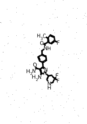 Cc1ccc(F)cc1C(=O)NCc1ccc(-c2nn(C3CNCC(F)(F)C3)c(N)c2C(N)=O)cc1